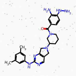 Cc1cc(C)cc(Nc2ncc3c(n2)CN(C2CCCN(C(=O)c4ccc(NN)c(N)c4)C2)C3)c1